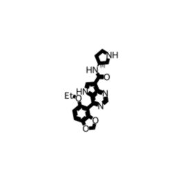 CCOc1ccc2c(c1-c1ncnc3c(C(=O)N[C@@H]4CCNC4)c[nH]c13)OCO2